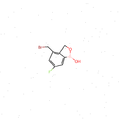 OB1OCc2c(CBr)cc(F)cc21